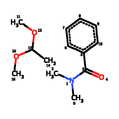 CN(C)C(=O)c1ccccc1.COC(C)OC